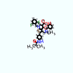 CC(C)C(=O)Nc1ccc(-c2sc3c(c2CN(C)Cc2ccccc2)c(=O)c(C(=O)O)cn3Cc2c(F)cccc2F)cc1